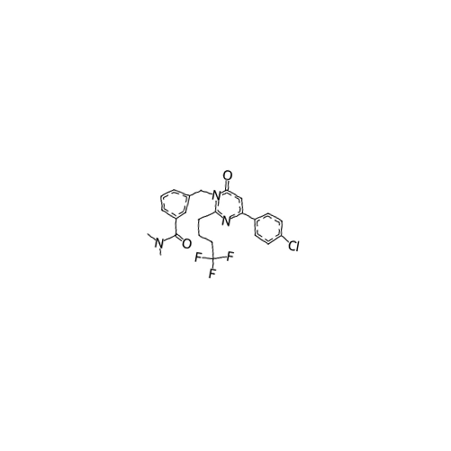 CN(C)C(=O)c1cccc(Cn2c(CCCC(F)(F)F)nc(-c3ccc(Cl)cc3)cc2=O)c1